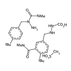 CNC(=O)N(N)Cc1ccc(C(C)(C)C)cc1.CNC(=O)c1cc(CNNC(=O)O)ccc1C(C)(C)C.CS(=O)(=O)O